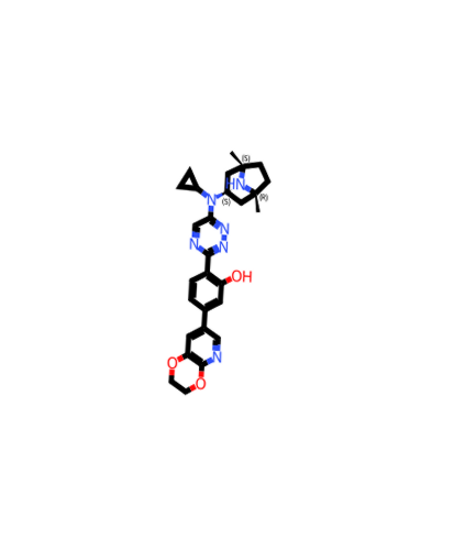 C[C@]12CC[C@](C)(C[C@@H](N(c3cnc(-c4ccc(-c5cnc6c(c5)OCCO6)cc4O)nn3)C3CC3)C1)N2